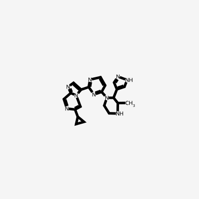 CC1NCCN(c2ccnc(-c3cnc4cnc(C5CC5)cn34)n2)C1c1cn[nH]c1